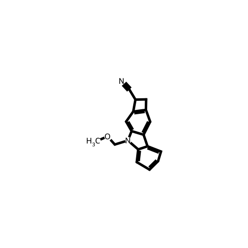 COCn1c2ccccc2c2cc3c(cc21)C(C#N)C3